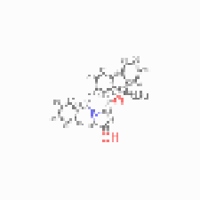 CC(C)(C)[Si](OC[C@@H]1C[C@@H](O)CN1Cc1ccccc1)(c1ccccc1)c1ccccc1